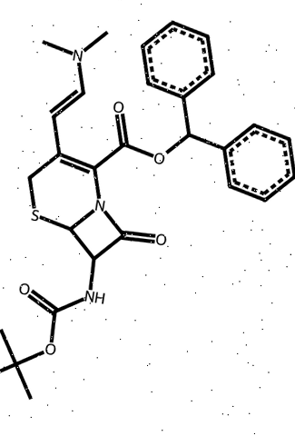 CN(C)C=CC1=C(C(=O)OC(c2ccccc2)c2ccccc2)N2C(=O)C(NC(=O)OC(C)(C)C)C2SC1